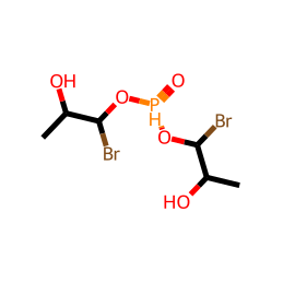 CC(O)C(Br)O[PH](=O)OC(Br)C(C)O